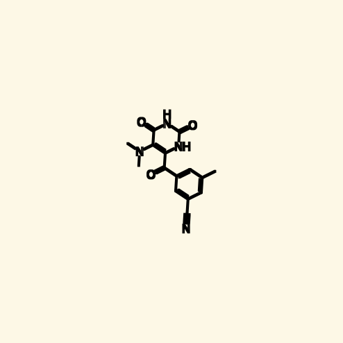 Cc1cc(C#N)cc(C(=O)c2[nH]c(=O)[nH]c(=O)c2N(C)C)c1